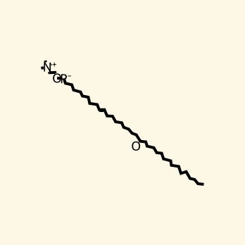 CCCCCCCCCCCCCCCC(=O)CCCCCCCCC=CCCCCCCCC[P-]OCC[N+](C)(C)C